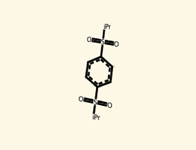 CC(C)S(=O)(=O)c1[c]cc(S(=O)(=O)C(C)C)cc1